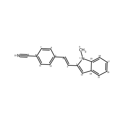 Cn1c(C=Cc2ccc(C#N)cc2)cc2ccccc21